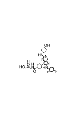 O=C(NC[C@H](O)CO)[C@H]1CC[C@@H](n2c(Nc3ccc(F)cc3F)nc3cnc(N[C@H]4CC[C@H](O)CC4)nc32)CC1